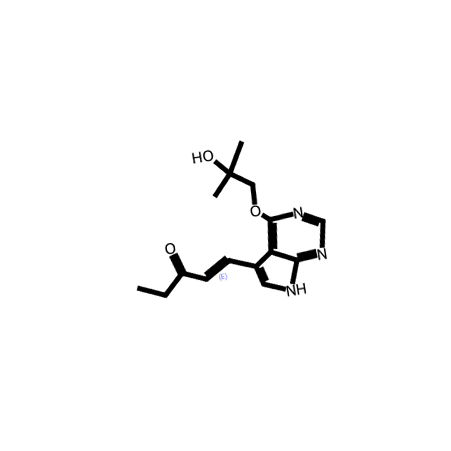 CCC(=O)/C=C/c1c[nH]c2ncnc(OCC(C)(C)O)c12